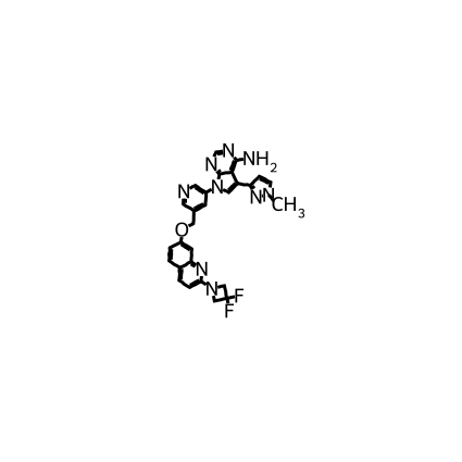 Cn1ccc(-c2cn(-c3cncc(COc4ccc5ccc(N6CC(F)(F)C6)nc5c4)c3)c3ncnc(N)c23)n1